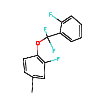 Cc1ccc(OC(F)(F)c2ccccc2F)c(F)c1